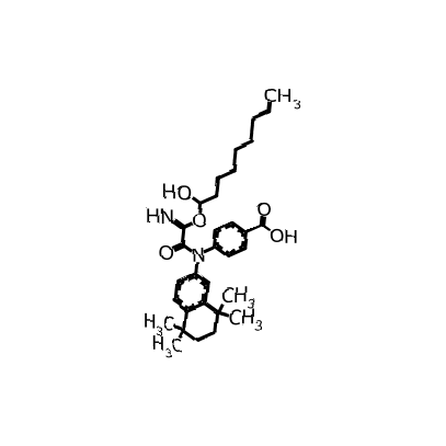 CCCCCCCCC(O)OC(=N)C(=O)N(c1ccc(C(=O)O)cc1)c1ccc2c(c1)C(C)(C)CCC2(C)C